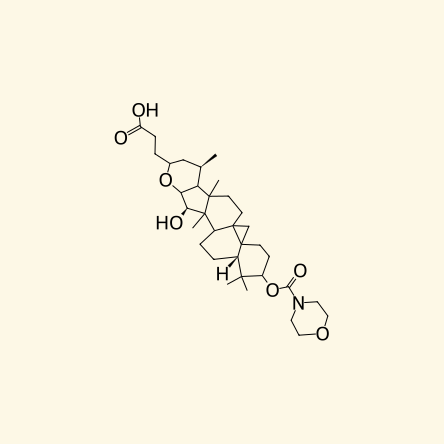 C[C@@H]1CC(CCC(=O)O)OC2C1C1(C)CCC34CC35CCC(OC(=O)N3CCOCC3)C(C)(C)[C@@H]5CCC4C1(C)[C@H]2O